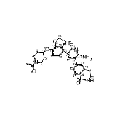 CC(=O)N1CCC(Oc2ccc(-c3cc(-c4ccc5c(c4)CCNC5=O)c(N)nc3F)c3c2OCO3)CC1